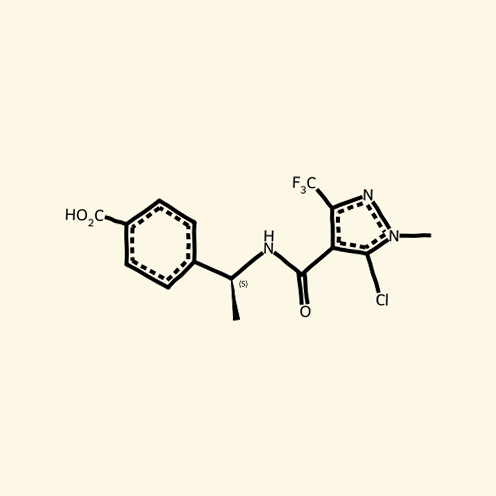 C[C@H](NC(=O)c1c(C(F)(F)F)nn(C)c1Cl)c1ccc(C(=O)O)cc1